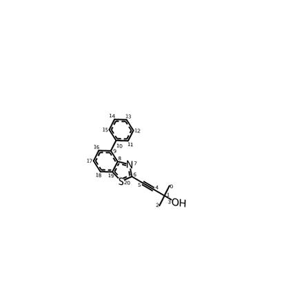 CC(C)(O)C#Cc1nc2c(-c3ccccc3)cccc2s1